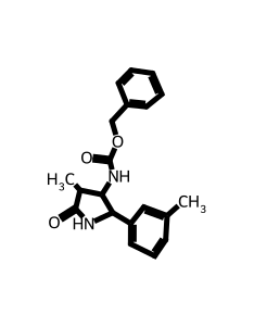 Cc1cccc(C2NC(=O)C(C)C2NC(=O)OCc2ccccc2)c1